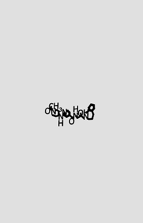 CC(=O)N1CCC(Nc2cc(C(=O)NCC(O)CN3CCCc4ccccc4C3)ccn2)CC1